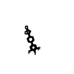 O=C1CC(C2CCC(c3cc(F)c(I)c(F)c3)CC2)O1